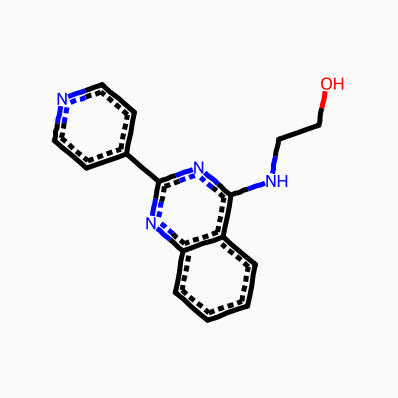 OCCNc1nc(-c2ccncc2)nc2ccccc12